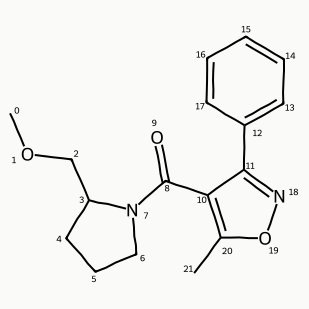 COCC1CCCN1C(=O)c1c(-c2ccccc2)noc1C